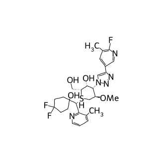 CO[C@H]1C[SH]([C@H](c2ncccc2C)C2(O)CCC(F)(F)CC2)[C@H](CO)[C@H](O)[C@@H]1n1cc(-c2cnc(F)c(C)c2)nn1